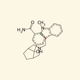 Cn1cc(CN2CC3CCC(C2)C3(O)c2cccc(C(N)=O)c2)c2ccccc21